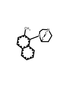 Cc1ccc2ccccc2c1N1CCN2CCC1CC2